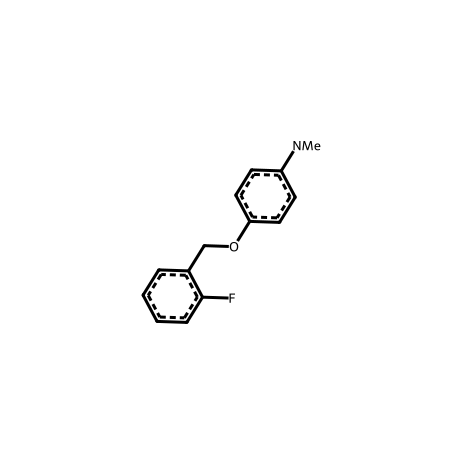 CNc1ccc(OCc2ccccc2F)cc1